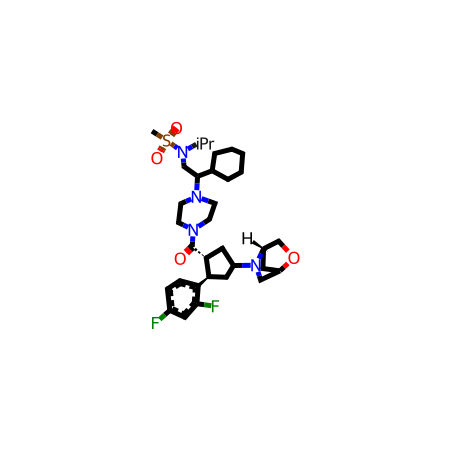 CC(C)N(CC(C1CCCCC1)N1CCN(C(=O)[C@@H]2CC(N3CC4C[C@H]3CO4)C[C@H]2c2ccc(F)cc2F)CC1)S(C)(=O)=O